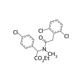 CCOC(=O)C(c1ccc(Cl)cc1)N(C)C(=O)Cc1c(Cl)cccc1Cl